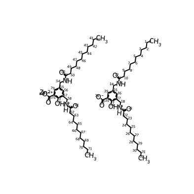 CCCCCCCCCCCC(=O)NCc1cc(CNC(=O)CCCCCCCCCCC)c(O)c(C(=O)[O-])c1.CCCCCCCCCCCC(=O)NCc1cc(CNC(=O)CCCCCCCCCCC)c(O)c(C(=O)[O-])c1.[Zn+2]